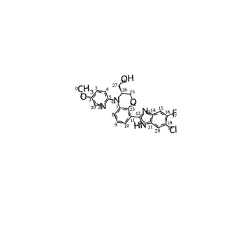 COc1ccc(N2c3cccc(-c4nc5cc(F)c(Cl)cc5[nH]4)c3OC[C@@H]2CO)nc1